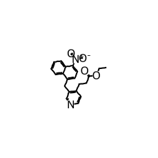 CCOC(=O)CCc1ccncc1Cc1ccc([N+](=O)[O-])c2ccccc12